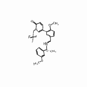 COc1cccc([C@@H](C)NCc2ccc(OC)c(-c3ccc(=O)n(CC(F)(F)F)c3)c2)c1